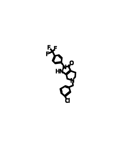 O=c1c2c([nH]n1-c1ccc(C(F)(F)F)cc1)CN(Cc1cccc(Cl)c1)CC2